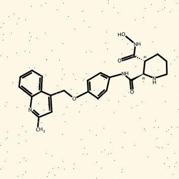 Cc1cc(COc2ccc(NC(=O)[C@@H]3NCCC[C@H]3C(=O)NO)cc2)c2ccccc2n1